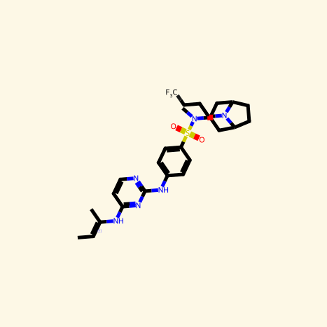 C/C=C(\C)Nc1ccnc(Nc2ccc(S(=O)(=O)N(C)C3CC4CCC(C3)N4CCCC(F)(F)F)cc2)n1